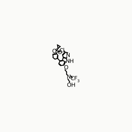 O=S(=O)(C1=CCCC(c2ccc(OCCCN(CCO)CC(F)(F)F)c3[nH]c4ncc(Cl)cc4c23)=C1)C1CC1